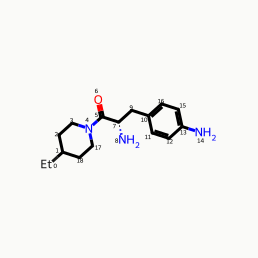 CCC1CCN(C(=O)[C@@H](N)Cc2ccc(N)cc2)CC1